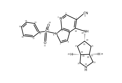 N#Cc1cnc2c(ccn2S(=O)(=O)c2ccccc2)c1N[C@@H]1C[C@H]2CNC[C@H]2C1